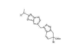 COC1(Br)C=Cc2c(ncn2Cc2ccc3nc([S+](C)[O-])sc3c2)C1